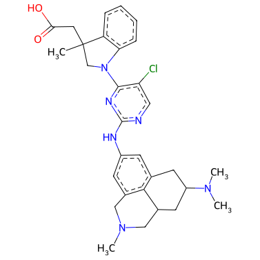 CN1Cc2cc(Nc3ncc(Cl)c(N4CC(C)(CC(=O)O)c5ccccc54)n3)cc3c2C(CC(N(C)C)C3)C1